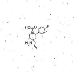 C=CC[C@@]1(N)CCN(C(=O)O)[C@@H](c2ccc(F)cc2C)C1